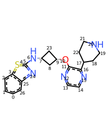 c1ccc2sc(N[C@H]3C[C@@H](Oc4nccnc4C4CCNCC4)C3)nc2c1